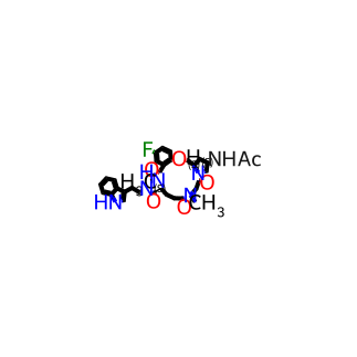 CC(=O)N[C@H]1C[C@H]2COc3ccc(F)cc3C(=O)N(C)[C@H](C(=O)NCCc3c[nH]c4ccccc34)CCC(=O)N(C)CC(=O)N2C1